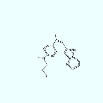 C/C(=C/c1cc2ncccc2[nH]1)c1ccc(N(C)CCF)cc1